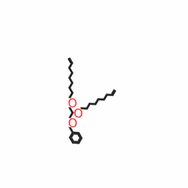 C=CCCCCCCCOCC(COCc1ccccc1)OCCCCCCCC=C